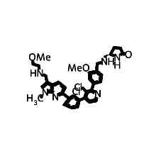 COCCNCc1cn(C)c2nc(-c3cccc(-c4ccnc(-c5ccc(CNC[C@@H]6CCC(=O)N6)c(OC)c5)c4Cl)c3Cl)ccc12